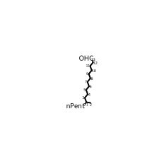 CCCCCC(C)CCCCCCCCCCC=O